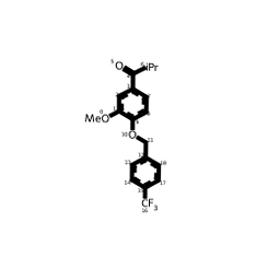 COc1cc(C(=O)C(C)C)ccc1OCc1ccc(C(F)(F)F)cc1